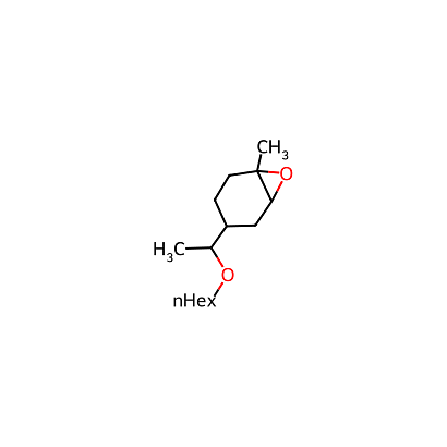 CCCCCCOC(C)C1CCC2(C)OC2C1